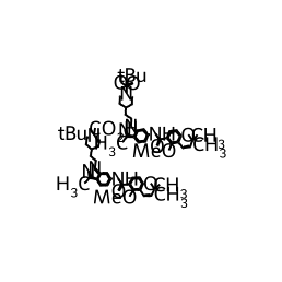 COc1c(C(=O)Nc2ccc3c(C)nn(CCC4CCN(C(=O)O)C(C(C)(C)C)C4)c3c2)ccc2c1C=CC(C)(C)O2.COc1c(C(=O)Nc2ccc3c(C)nn(CCC4CCN(C(=O)OC(C)(C)C)CC4)c3c2)ccc2c1C=CC(C)(C)O2